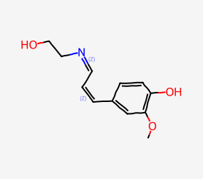 COc1cc(/C=C\C=N/CCO)ccc1O